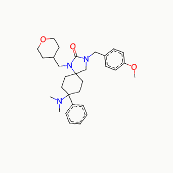 COc1ccc(CN2CC3(CCC(c4ccccc4)(N(C)C)CC3)N(CC3CCOCC3)C2=O)cc1